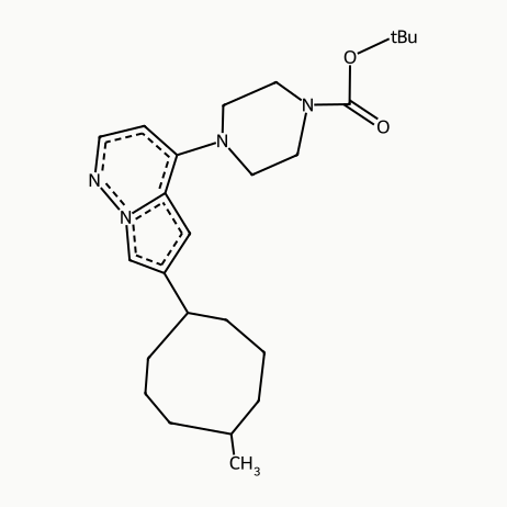 CC1CCCC(c2cc3c(N4CCN(C(=O)OC(C)(C)C)CC4)ccnn3c2)CCC1